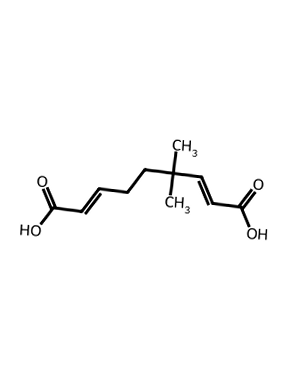 CC(C)(/C=C/C(=O)O)CC/C=C/C(=O)O